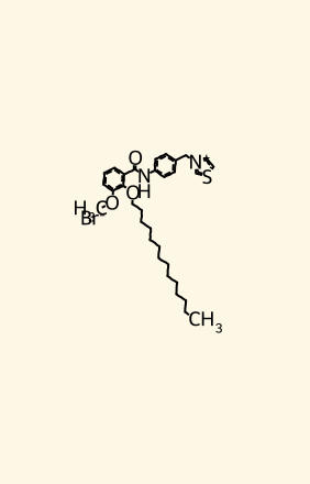 CCCCCCCCCCCCCCOc1c(OC)cccc1C(=O)Nc1ccc(C[n+]2ccsc2)cc1.[Br-]